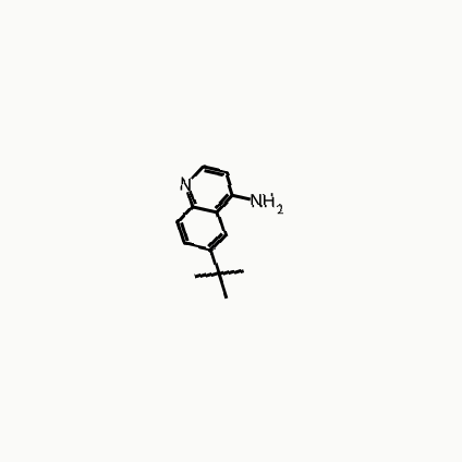 CC(C)(C)c1ccc2nccc(N)c2c1